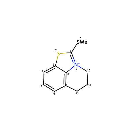 CSc1sc2cccc3c2[n+]1CCC3